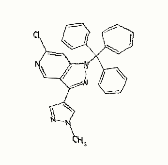 Cn1cc(-c2nn(C(c3ccccc3)(c3ccccc3)c3ccccc3)c3cc(Cl)ncc23)cn1